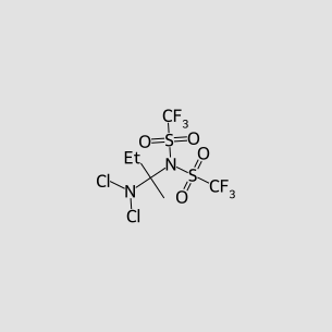 CCC(C)(N(Cl)Cl)N(S(=O)(=O)C(F)(F)F)S(=O)(=O)C(F)(F)F